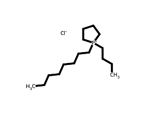 CCCCCCCC[P+]1(CCCC)CCCC1.[Cl-]